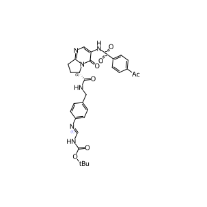 CC(=O)c1ccc(S(=O)(=O)Nc2cnc3n(c2=O)[C@H](C(=O)NCc2ccc(/N=C/NC(=O)OC(C)(C)C)cc2)CC3)cc1